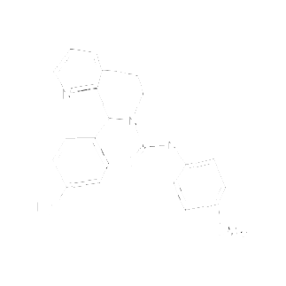 COc1ccc(NC(=O)N2CCc3cccnc3C2c2ccc(C(F)(F)F)cc2)cc1